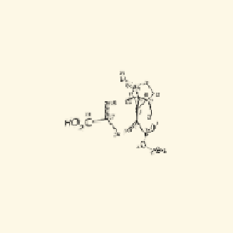 C=C(C(=O)OCCCC)C1C[C@H]2CC[C@@]1(C)C2(C)C.C=C(C)C(=O)O